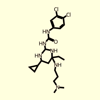 CCC1(NCCCN(C)C)CC(C2CC2)NC(NC(=O)Nc2ccc(Cl)c(Cl)c2)N1